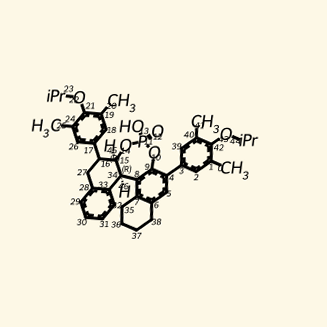 Cc1cc(-c2cc3c(c4c2OP(=O)(O)O[C@@H]2C(c5cc(C)c(OC(C)C)c(C)c5)Cc5ccccc5[C@H]42)CCCC3)cc(C)c1OC(C)C